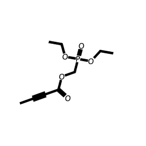 CC#CC(=O)OCP(=O)(OCC)OCC